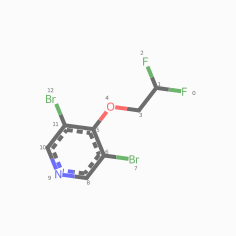 FC(F)COc1c(Br)cncc1Br